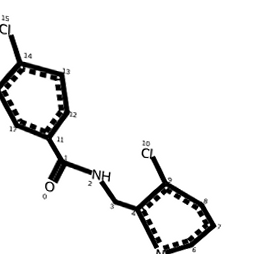 O=C(NCc1ncccc1Cl)c1ccc(Cl)cc1